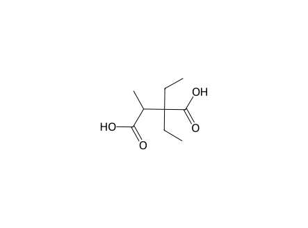 CCC(CC)(C(=O)O)C(C)C(=O)O